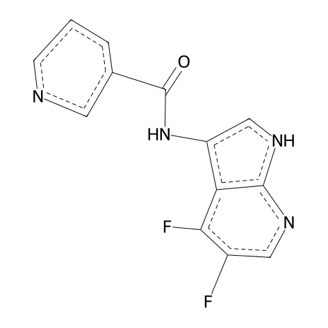 O=C(Nc1c[nH]c2ncc(F)c(F)c12)c1cccnc1